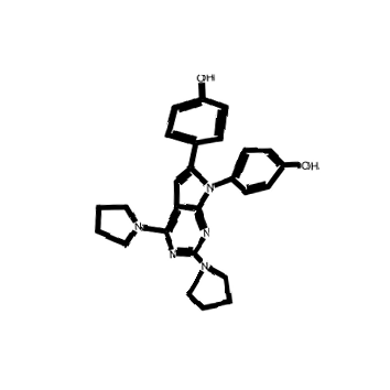 Oc1ccc(-c2cc3c(N4CCCC4)nc(N4CCCC4)nc3n2-c2ccc(O)cc2)cc1